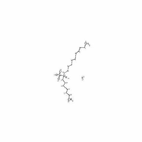 CCCCCCCCCCCC(F)(CCCCCCC)S(=O)(=O)[O-].[K+]